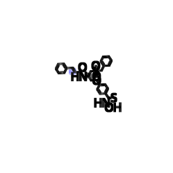 O=C(/C=C/c1ccccc1)N[C@H](COc1ccc(C(=S)NO)cc1)CS(=O)(=O)Cc1ccccc1